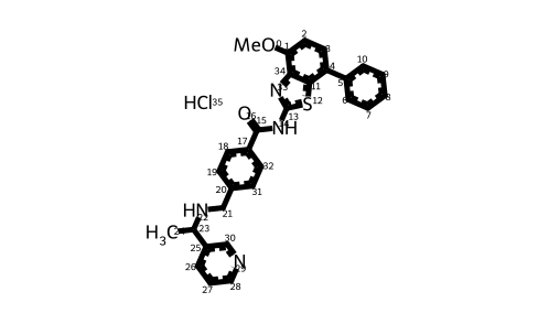 COc1ccc(-c2ccccc2)c2sc(NC(=O)c3ccc(CNC(C)c4cccnc4)cc3)nc12.Cl